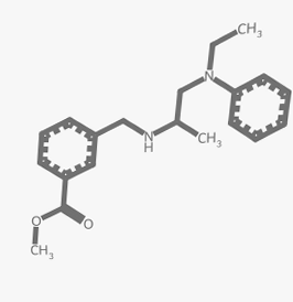 CCN(CC(C)NCc1cccc(C(=O)OC)c1)c1ccccc1